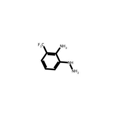 NNc1cccc(C(F)(F)F)c1N